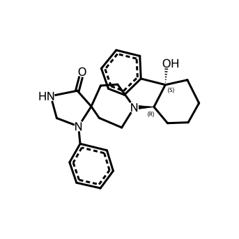 O=C1NCN(c2ccccc2)C12CCN([C@@H]1CCCC[C@]1(O)c1ccccc1)CC2